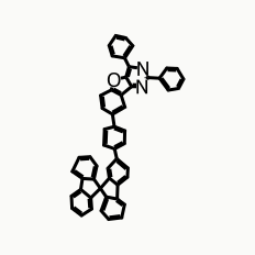 c1ccc(-c2nc(-c3ccccc3)c3oc4ccc(-c5ccc(-c6ccc7c(c6)C6(c8ccccc8-c8ccccc86)c6ccccc6-7)cc5)cc4c3n2)cc1